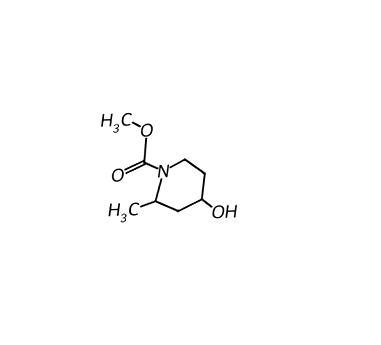 COC(=O)N1CCC(O)CC1C